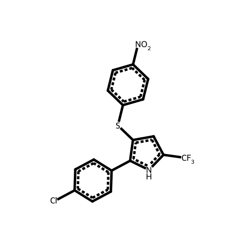 O=[N+]([O-])c1ccc(Sc2cc(C(F)(F)F)[nH]c2-c2ccc(Cl)cc2)cc1